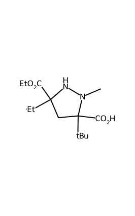 C[CH]C1(C(=O)OCC)CC(C(=O)O)(C(C)(C)C)N(C)N1